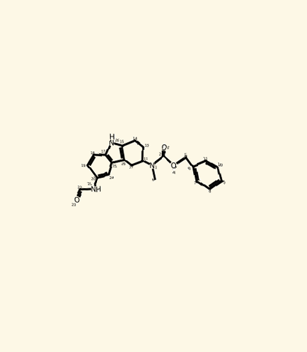 CN(C(=O)OCc1ccccc1)C1CCc2[nH]c3ccc(NC=O)cc3c2C1